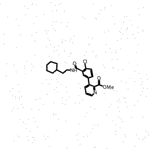 COC(=O)c1ncccc1-c1ccc(Cl)c(C(=O)NCCC2CCCCC2)c1